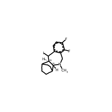 CN1Cc2c(ccc(F)c2F)C(I)[C@@H]2C3CCC(CC3)[C@H]21